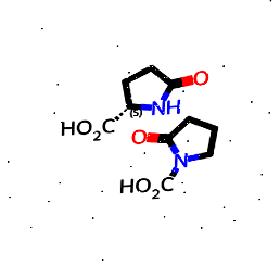 O=C(O)N1CCCC1=O.O=C1CC[C@@H](C(=O)O)N1